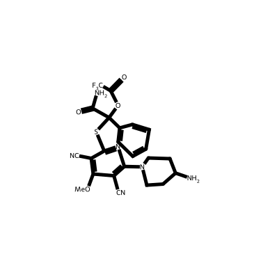 COc1c(C#N)c(SC(OC(=O)C(F)(F)F)(C(N)=O)c2ccccc2)nc(N2CCC(N)CC2)c1C#N